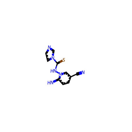 N#Cc1ccc(=N)n(NC(=S)n2ccnc2)c1